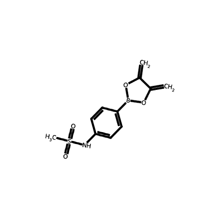 C=C1OB(c2ccc(NS(C)(=O)=O)cc2)OC1=C